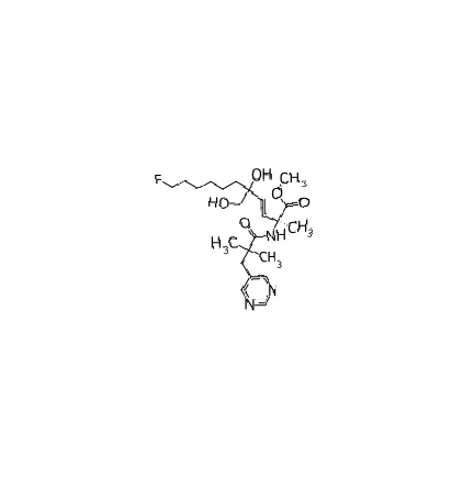 COC(=O)[C@](C)(/C=C/C(O)(CO)CCCCCCF)NC(=O)C(C)(C)Cc1cncnc1